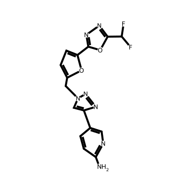 Nc1ccc(-c2cn(Cc3ccc(-c4nnc(C(F)F)o4)o3)nn2)cn1